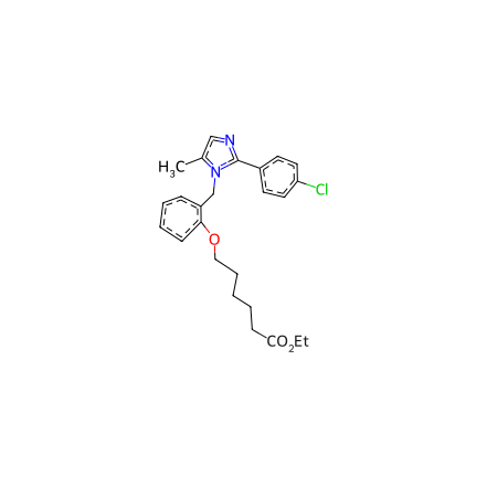 CCOC(=O)CCCCCOc1ccccc1Cn1c(C)cnc1-c1ccc(Cl)cc1